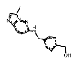 Cc1cnc2ccc(NCc3ccc(CO)cc3)nn12